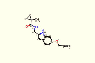 C#CCOc1ccc2cc(CNC(=O)C3(C)CC3)[nH]c2c1